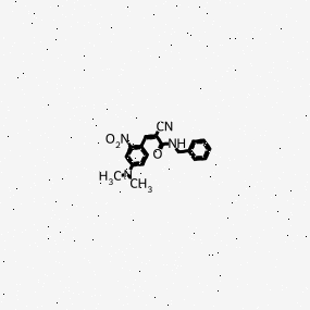 CN(C)c1ccc(C=C(C#N)C(=O)NCc2ccccc2)c([N+](=O)[O-])c1